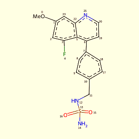 COc1cc(F)c2c(-c3ccc(CNS(N)(=O)=O)cc3)ccnc2c1